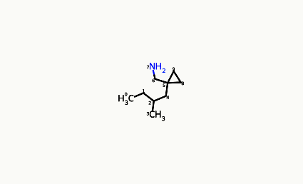 CCC(C)CC1(CN)CC1